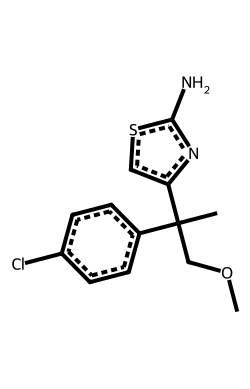 COCC(C)(c1ccc(Cl)cc1)c1csc(N)n1